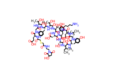 CC[C@H](C)[C@H](NC(=O)[C@H](CO)NC(=O)[C@H](Cc1ccc(O)cc1)NC(=O)[C@H](CC(=O)O)NC(=O)[C@H](CO)NC(=O)[C@@H](NC(=O)[C@H](Cc1ccccc1)NC(=O)[C@@H](NC(=O)CNC(=O)[C@H](CCC(=O)O)NC(=O)CSCC(=O)NCCN1C(=O)C[C@@H](O)C1=O)[C@@H](C)O)[C@@H](C)O)C(=O)N[C@@H](Cc1ccc(O)cc1)C(=O)N[C@@H](CC(C)C)C(=O)N[C@@H](CC(=O)O)C(=O)N[C@H](C)CCCCN